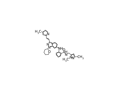 Cc1ccnc(C=Cc2nn(C3CCCCO3)c3cc(Nc4ccccc4C(=O)NCc4cc(C)nn4C)ccc23)c1